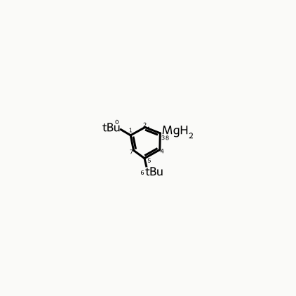 CC(C)(C)c1[c]ccc(C(C)(C)C)c1.[MgH2]